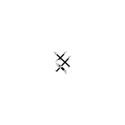 CC(F)(C(F)(F)F)S(C)(=O)=O